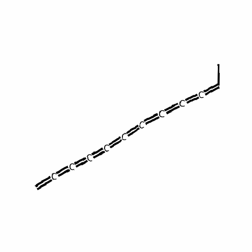 C=C=C=C=C=C=C=C=C=C=CC